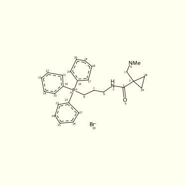 CNCC1(C(=O)NCCC[P+](c2ccccc2)(c2ccccc2)c2ccccc2)CC1.[Br-]